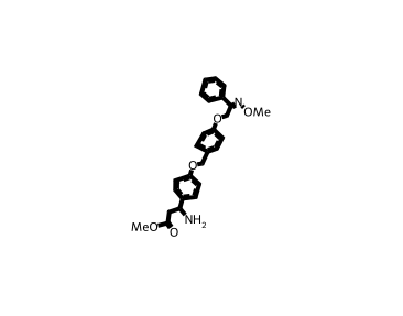 CO/N=C(\COc1ccc(COc2ccc(C(N)CC(=O)OC)cc2)cc1)c1ccccc1